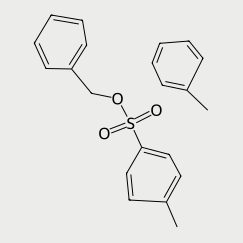 Cc1ccc(S(=O)(=O)OCc2ccccc2)cc1.Cc1ccccc1